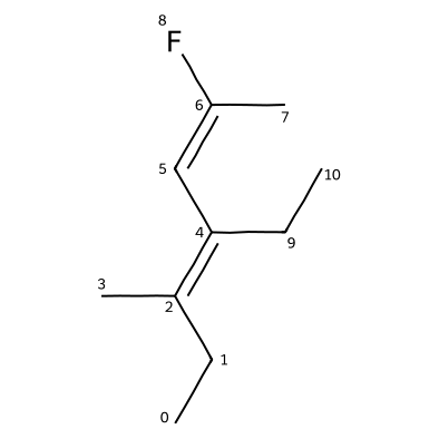 CC/C(C)=C(/C=C(\C)F)CC